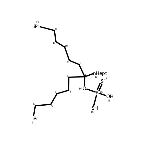 CCCCCCCC(CCCCCC(C)C)(CCCCCC(C)C)OP(O)(=S)S